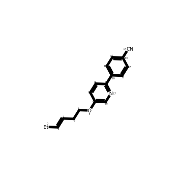 CCC=CCCOc1ccc(-c2ccc(C#N)cc2)nc1